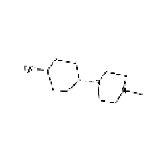 CN1CCN([C@H]2CC[C@@H](C(F)(F)F)CC2)CC1